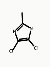 CC1=NC(Cl)=C(Cl)[N]1